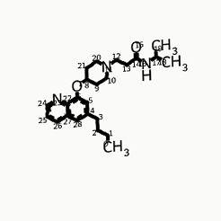 CCCCc1cc(OC2CCN(CCC(=O)NC(C)C)CC2)c2ncccc2c1